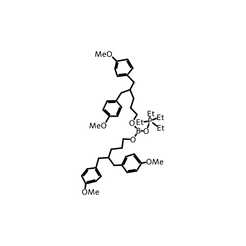 CCP(CC)(CC)(CC)OB(OCCCC(Cc1ccc(OC)cc1)Cc1ccc(OC)cc1)OCCCC(Cc1ccc(OC)cc1)Cc1ccc(OC)cc1